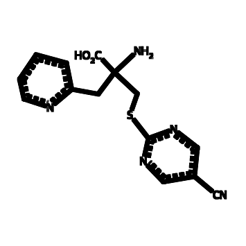 N#Cc1cnc(SCC(N)(Cc2ccccn2)C(=O)O)nc1